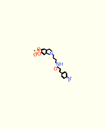 CN(C)c1ccc(/C=C/C(=O)NCCCCN2CCc3ccc(OS(C)(=O)=O)cc3C2)cc1